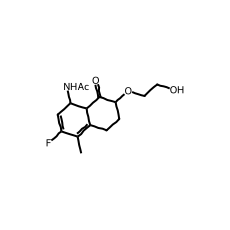 CC(=O)NC1C=C(F)C(C)=C2CCC(OCCO)C(=O)C21